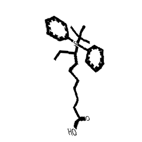 CCC(CCCCCCC(=O)O)[Si](c1ccccc1)(c1ccccc1)C(C)(C)C